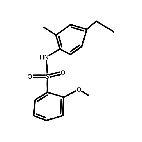 CCc1ccc(NS(=O)(=O)c2ccccc2OC)c(C)c1